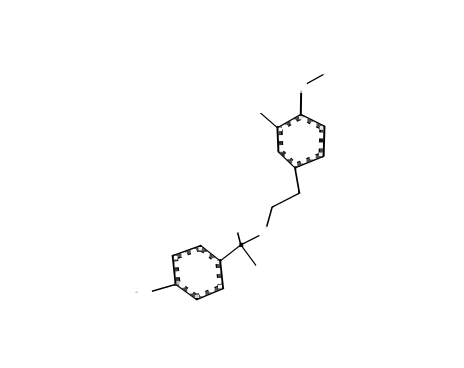 CCCCCc1ccc(C(F)(F)OCCc2ccc(OC(F)(F)F)c(F)c2)cc1